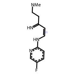 CNCCC(=N)/C=C\Nc1ccc(F)cn1